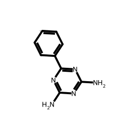 Nc1nc(N)nc(-c2cc[c]cc2)n1